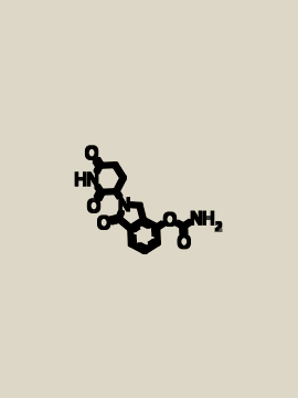 NC(=O)Oc1cccc2c1CN(C1CCC(=O)NC1=O)C2=O